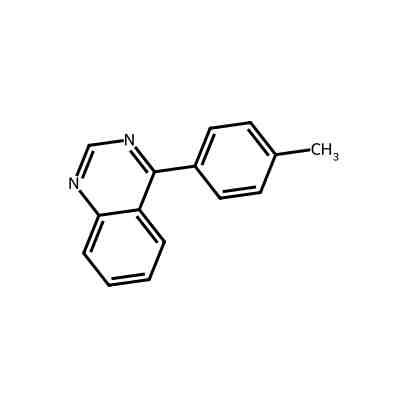 Cc1ccc(-c2ncnc3ccccc23)cc1